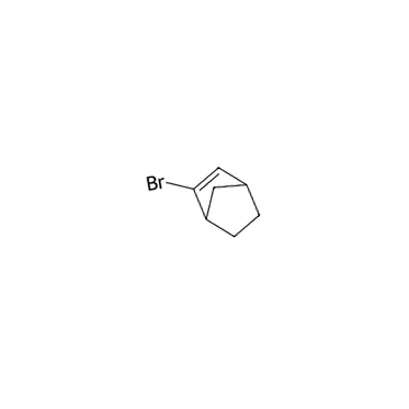 BrC1=CC2CCC1C2